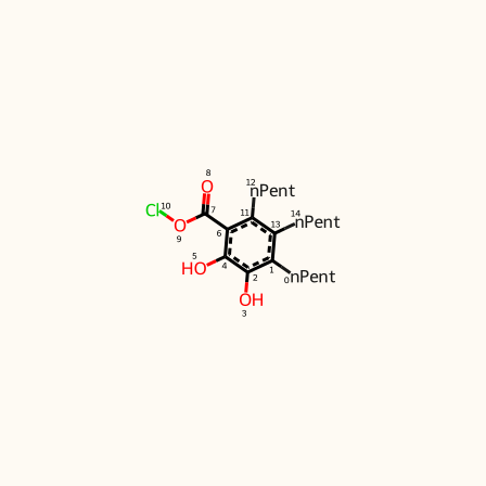 CCCCCc1c(O)c(O)c(C(=O)OCl)c(CCCCC)c1CCCCC